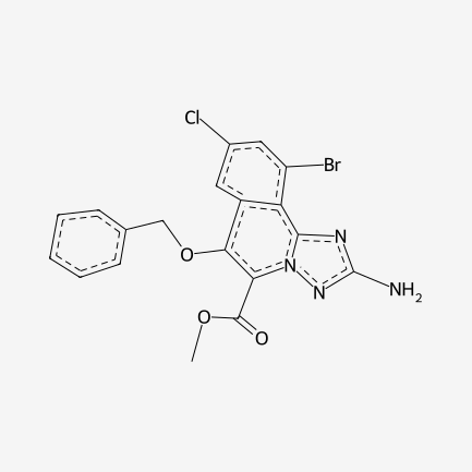 COC(=O)c1c(OCc2ccccc2)c2cc(Cl)cc(Br)c2c2nc(N)nn12